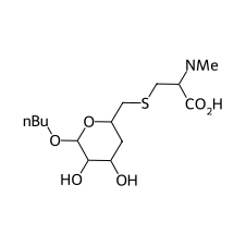 CCCCOC1OC(CSCC(NC)C(=O)O)CC(O)C1O